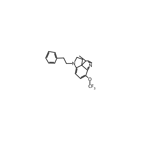 CC1C=CN=C2C(OC(F)(F)F)=CC=C3N(CCc4ccccc4)CCC321